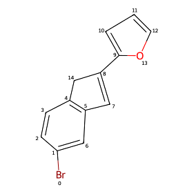 Brc1ccc2c(c1)C=C(c1ccco1)C2